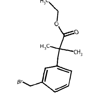 CCOC(=O)C(C)(C)c1cccc(CBr)c1